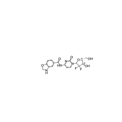 O=C(Nc1ccn(C2O[C@H](CO)[C@@H](O)C2(F)F)c(=O)n1)c1ccc2c(c1)NCO2